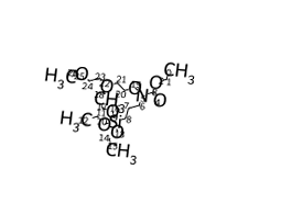 CCOC(=O)N(CCC[Si](OCC)(OCC)OCC)OCCOCCOC